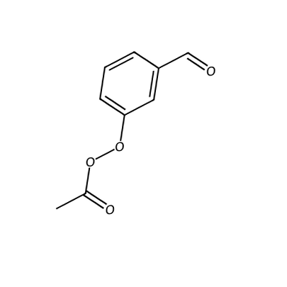 CC(=O)OOc1cccc(C=O)c1